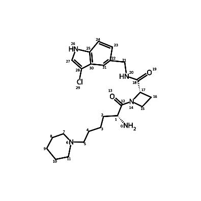 N[C@H](CCCCN1CCCCC1)C(=O)N1CC[C@H]1C(=O)NCc1ccc2[nH]cc(Cl)c2c1